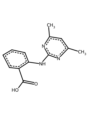 Cc1cc(C)nc(Nc2ccccc2C(=O)O)n1